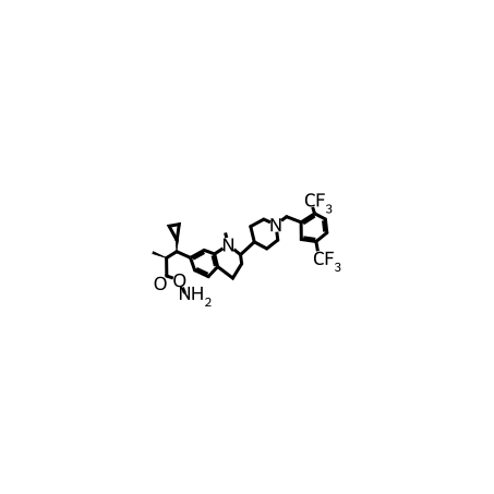 C[C@H](C(=O)ON)[C@H](c1ccc2c(c1)N(C)C(C1CCN(Cc3cc(C(F)(F)F)ccc3C(F)(F)F)CC1)CC2)C1CC1